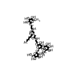 CC(=O)CCCCC(=O)N(CC(=O)NCCO[C@@H]1O[C@@H](C)[C@@H](O)[C@@H](O)[C@@H]1O)CC(=O)NCCO[C@H]1O[C@H](CO[C@H]2O[C@H](CO)[C@@H](O)[C@H](O)[C@@H]2O)[C@@H](O)[C@H](O[C@H]2O[C@H](CO)[C@@H](O)[C@H](O)[C@@H]2O)[C@@H]1O